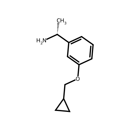 C[C@@H](N)c1cccc(OCC2CC2)c1